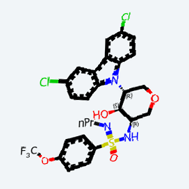 CCCN=S(=O)(N[C@@H]1COC[C@@H](n2c3ccc(Cl)cc3c3cc(Cl)ccc32)[C@@H]1O)c1ccc(OC(F)(F)F)cc1